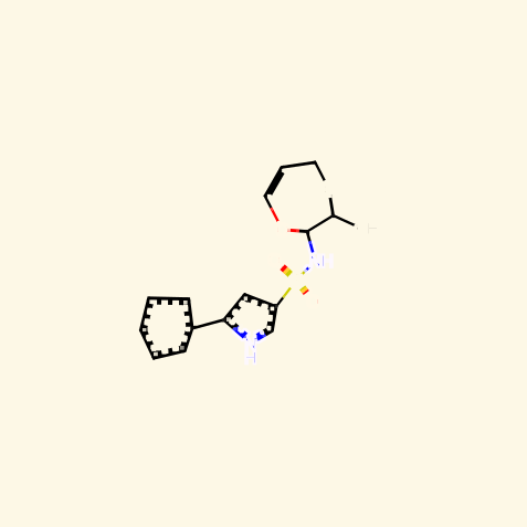 CC1CCC=COC1NS(=O)(=O)c1c[nH]c(-c2ccccc2)c1